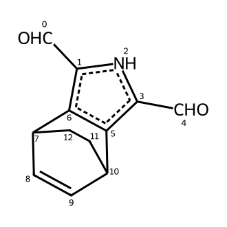 O=Cc1[nH]c(C=O)c2c1C1C=CC2CC1